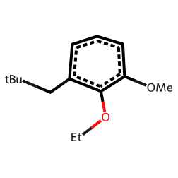 CCOc1c(CC(C)(C)C)cccc1OC